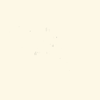 CC(C)O[Si](CCc1ccccc1)(CCc1ccccc1)OC(C)C